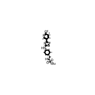 CC(C)(C)S(=O)(=O)NC[C@H]1CC[C@H](Nc2nc(-c3ccc(C(F)(F)F)nc3)no2)CC1